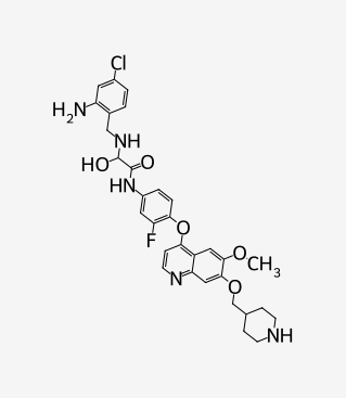 COc1cc2c(Oc3ccc(NC(=O)C(O)NCc4ccc(Cl)cc4N)cc3F)ccnc2cc1OCC1CCNCC1